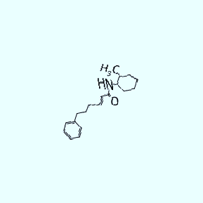 CC1CCCCC1NC(=O)C=CCCCc1ccccc1